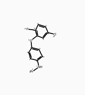 CC(C)Nc1ccc(Oc2cc(Cl)ccc2F)cc1